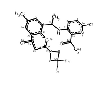 Cc1cc(C(C)Nc2ccc(Cl)nc2C(=O)O)c2oc(N3CC(F)(F)C3)cc(=O)c2c1